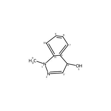 CN1N=CC(O)c2ccccc21